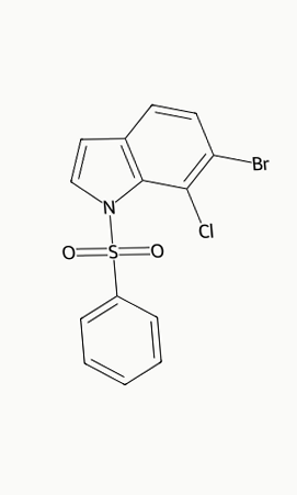 O=S(=O)(c1ccccc1)n1ccc2ccc(Br)c(Cl)c21